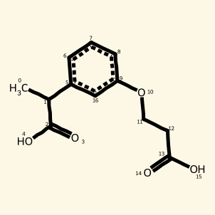 CC(C(=O)O)c1cccc(OCCC(=O)O)c1